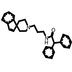 O=C(NCCCN1CCC2(C=Cc3ccccc32)CC1)C(c1ccccc1)c1ccccc1